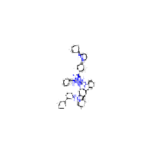 c1ccc(-c2cccc(-n3c4ccccc4c4cc5c6ccccc6n(-c6nc(-c7ccccc7)nc(-c7ccc(-c8cccc(-c9ccccc9)n8)cc7)n6)c5cc43)c2)cc1